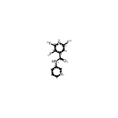 O=C(Nc1cccnc1)c1cc(F)nc(F)c1F